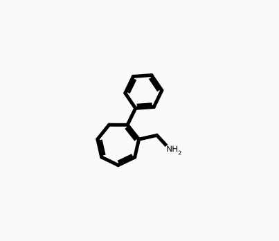 NCC1=C(c2ccccc2)CC=CC=C1